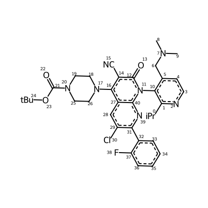 CC(C)c1nccc(CN(C)C)c1-n1c(=O)c(C#N)c(N2CCN(C(=O)OC(C)(C)C)CC2)c2cc(Cl)c(-c3ccccc3F)nc21